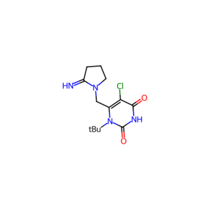 CC(C)(C)n1c(CN2CCCC2=N)c(Cl)c(=O)[nH]c1=O